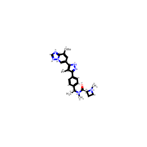 COc1cc(-c2[nH]nc(-c3ccc([C@H](C)N(C)C(=O)[C@@H]4CCN4C)cc3)c2C(C)C)cn2ncnc12